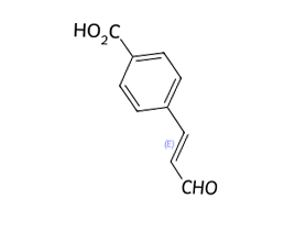 O=C/C=C/c1ccc(C(=O)O)cc1